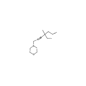 CCCC(C)(C#CCN1CCOCC1)CC